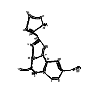 CCCc1ccc2[nH]c(=O)n3nc(-c4nnn[nH]4)nc3c2c1